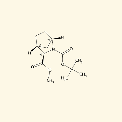 COC(=O)[C@H]1[C@@H]2CC[C@@H](C2)N1C(=O)OC(C)(C)C